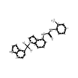 [2H]C([2H])(c1ccnc2[nH]ccc12)n1ccc2c(NC(=O)Nc3ccccc3C(F)(F)F)cccc21